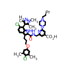 Cc1cc(OCCCc2c(C(=O)NCc3cc(C(=O)O)cc(N4CCN(CCC(C)C)CC4)n3)[nH]c3c(-c4c(C)nn(C)c4C)c(Cl)ccc23)cc(C)c1Cl